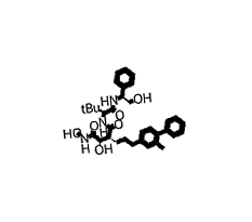 Cc1cc(CCC[C@@H](C(=O)N[C@H](C(=O)N[C@H](CO)c2ccccc2)C(C)(C)C)[C@H](O)C(=O)NO)ccc1-c1ccccc1